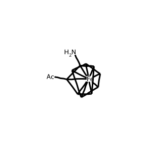 CC(=O)[C]12[CH]3[CH]4[CH]5[C]1(N)[Fe]45321678[CH]2[CH]1[CH]6[CH]7[CH]28